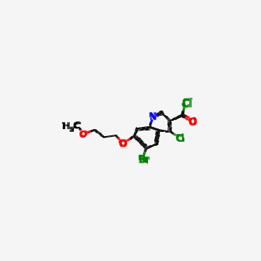 COCCCOc1cc2ncc(C(=O)Cl)c(Cl)c2cc1Br